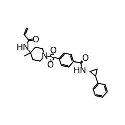 C=CC(=O)NC1(C)CCN(S(=O)(=O)c2ccc(C(=O)N[C@@H]3CC3c3ccccc3)cc2)CC1